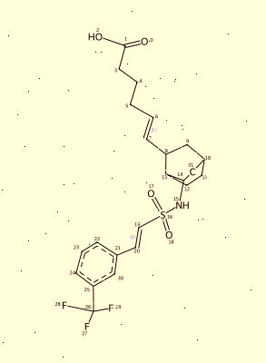 O=C(O)CCC/C=C/C1CC2CCC1C(NS(=O)(=O)/C=C/c1cccc(C(F)(F)F)c1)C2